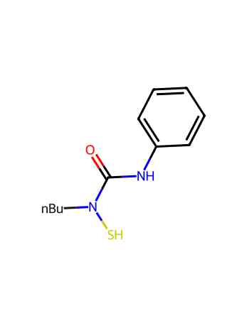 CCCCN(S)C(=O)Nc1ccccc1